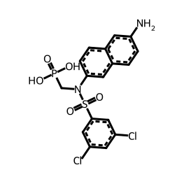 Nc1ccc2cc(N(CP(=O)(O)O)S(=O)(=O)c3cc(Cl)cc(Cl)c3)ccc2c1